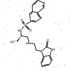 C[C@H](CNCCn1c(=O)[nH]c2ccccc21)NS(=O)(=O)c1ccc2cnccc2c1.Cl